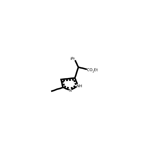 CCOC(=O)C(c1cc(C)n[nH]1)C(C)C